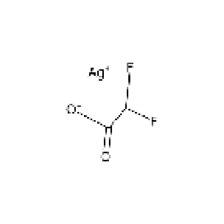 O=C([O-])C(F)F.[Ag+]